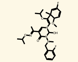 COC1C=CC(F)=CC1(C)/C(=C/N1C=C(/C(C)=N/OC(C)C)C(=O)N(N(C)Cc2ccccc2F)C1O)OC(C)C